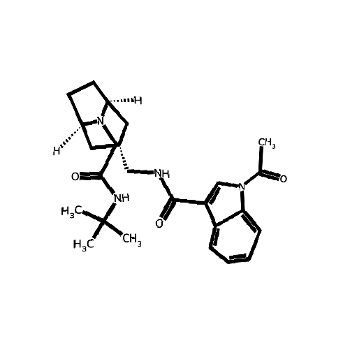 CC(=O)n1cc(C(=O)NC[C@@H]2C[C@H]3CC[C@@H](C2)N3CC(=O)NC(C)(C)C)c2ccccc21